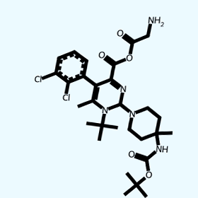 CC1=C(c2cccc(Cl)c2Cl)C(C(=O)OC(=O)CN)=NC(N2CCC(C)(NC(=O)OC(C)(C)C)CC2)N1C(C)(C)C